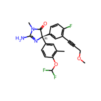 COCC#Cc1cc([C@@]2(c3ccc(OC(F)F)c(C)c3)N=C(N)N(C)C2=O)ccc1F